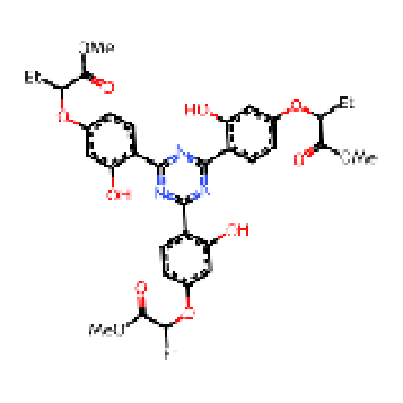 CCC(Oc1ccc(-c2nc(-c3ccc(OC(CC)C(=O)OC)cc3O)nc(-c3ccc(OC(CC)C(=O)OC)cc3O)n2)c(O)c1)C(=O)OC